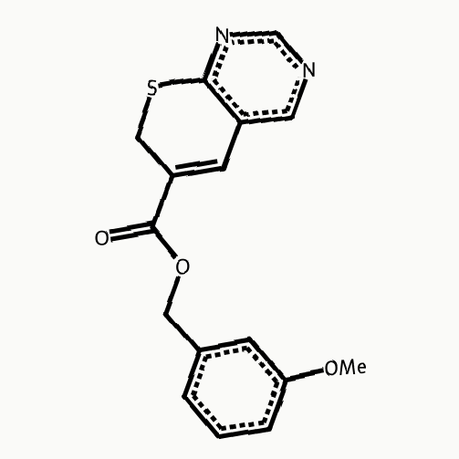 COc1cccc(COC(=O)C2=Cc3cncnc3SC2)c1